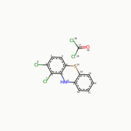 Clc1ccc2c(c1Cl)Nc1ccccc1S2.O=C(Cl)Cl